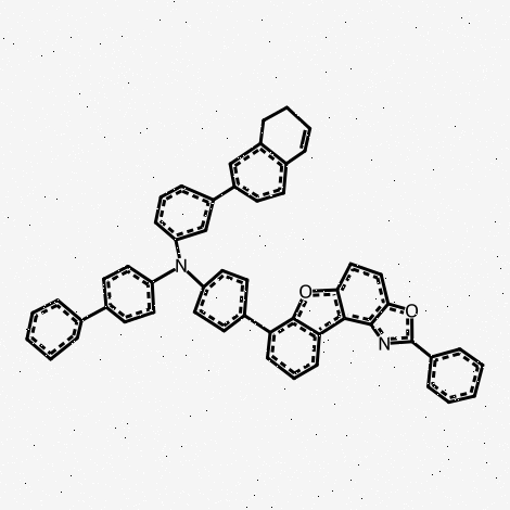 C1=Cc2ccc(-c3cccc(N(c4ccc(-c5ccccc5)cc4)c4ccc(-c5cccc6c5oc5ccc7oc(-c8ccccc8)nc7c56)cc4)c3)cc2CC1